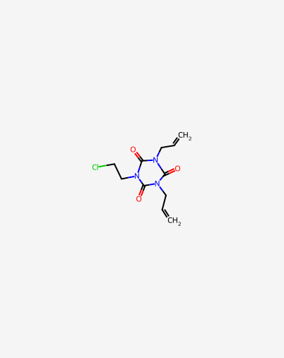 C=CCn1c(=O)n(CC=C)c(=O)n(CCCl)c1=O